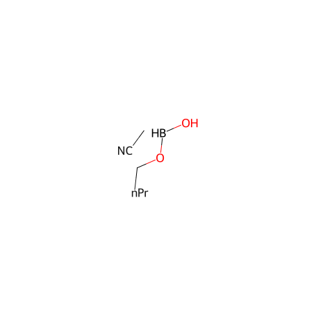 CC#N.CCCCOBO